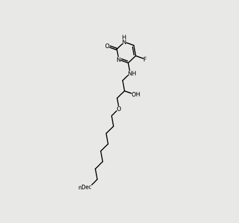 CCCCCCCCCCCCCCCCCCOCC(O)CNc1nc(=O)[nH]cc1F